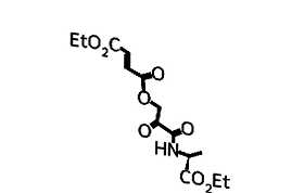 CCOC(=O)/C=C/C(=O)OCC(=O)C(=O)N[C@@H](C)C(=O)OCC